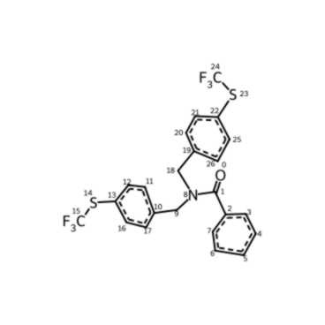 O=C(c1ccccc1)N(Cc1ccc(SC(F)(F)F)cc1)Cc1ccc(SC(F)(F)F)cc1